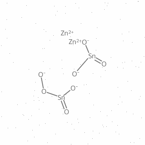 [O]=[Sn]([O-])[O-].[O]=[Sn]([O-])[O][O-].[Zn+2].[Zn+2]